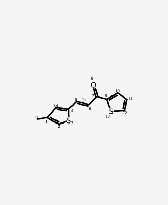 Cc1csc(/C=C/C(=O)c2cccs2)c1